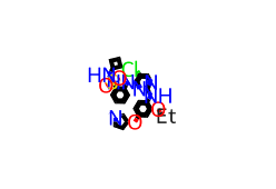 CCOc1cc(OC2CCN(C)C2)ccc1Nc1ncc(Cl)c(Nc2ccccc2S(=O)(=O)NC2CCC2)n1